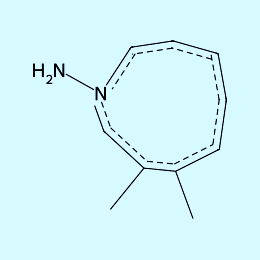 Cc1cccccn(N)cc1C